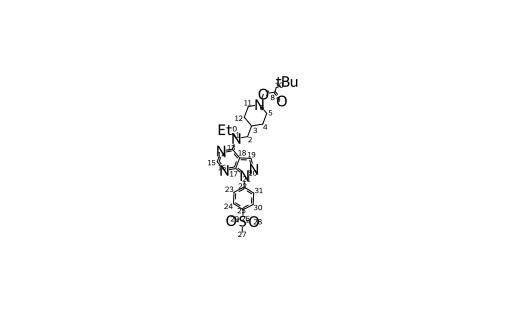 CCN(CC1CCN(OC(=O)C(C)(C)C)CC1)c1ncnc2c1cnn2-c1ccc(S(C)(=O)=O)cc1